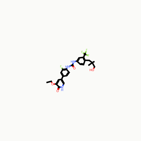 CCOc1cc(-c2ccc(NC(=O)Nc3ccc(CC(C)(C)CO)c(C(F)(F)F)c3)c(F)c2)c[nH]c1=O